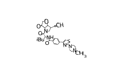 C#CC1CN(C(=O)C(NC(=O)c2ccc(-c3csc(N4CCN(C)CC4)n3)cc2)C(C)CC)C2C(=O)COC12